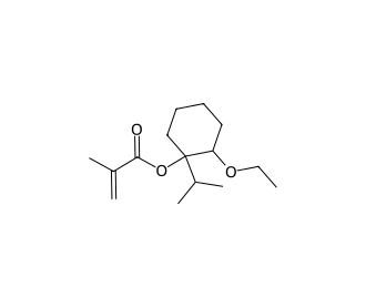 C=C(C)C(=O)OC1(C(C)C)CCCCC1OCC